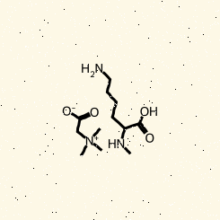 CNC(CCCCN)C(=O)O.C[N+](C)(C)CC(=O)[O-]